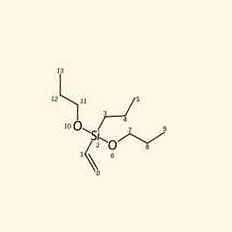 C=C[Si](CCC)(OCCC)OCCC